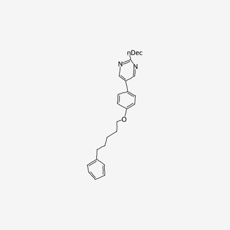 CCCCCCCCCCc1ncc(-c2ccc(OCCCCCc3ccccc3)cc2)cn1